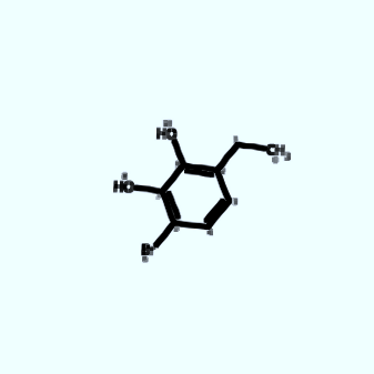 CCc1ccc(Br)c(O)c1O